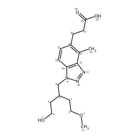 COCCC(CCO)Cn1nnc2c(C)c(CCC(=O)O)ccc21